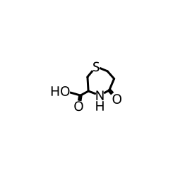 O=C1CCSCC(C(=O)O)N1